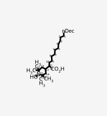 CCCCCCCCCCCCCCCCCCCCC(C(=O)O)C1CC(C)(C)N(O)C(C)(C)C1